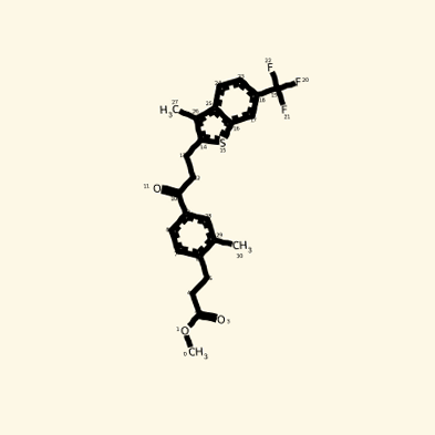 COC(=O)CCc1ccc(C(=O)CCc2sc3cc(C(F)(F)F)ccc3c2C)cc1C